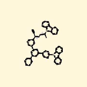 C#C/C(=C\C=C(/C)n1c2ccccc2c2ccccc21)c1cccc(-c2cc(-c3ccccc3)cc(-c3ccc(-n4c5ccccc5c5ccccc54)cc3)c2)c1